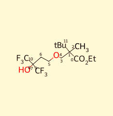 CCOC(=O)C(C)(COCCC(O)(C(F)(F)F)C(F)(F)F)C(C)(C)C